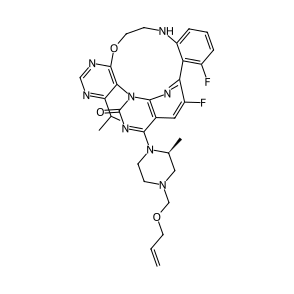 C=CCOCN1CCN(c2nc(=O)n3c4nc(c(F)cc24)-c2c(F)cccc2NCCOc2ncnc(C(C)C)c2-3)[C@@H](C)C1